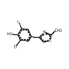 O=Cc1nc(-c2cc(Cl)c(O)c(Cl)c2)cs1